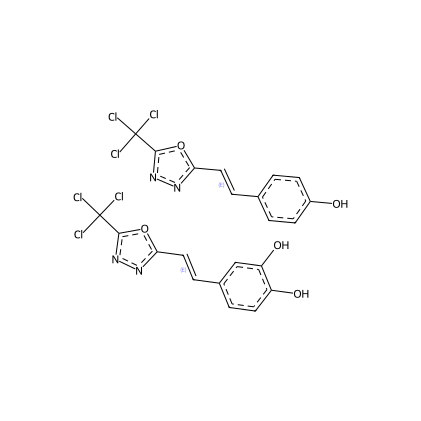 Oc1ccc(/C=C/c2nnc(C(Cl)(Cl)Cl)o2)cc1.Oc1ccc(/C=C/c2nnc(C(Cl)(Cl)Cl)o2)cc1O